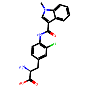 Cn1cc(C(=O)Nc2ccc(C[C@H](N)C(=O)O)cc2Cl)c2ccccc21